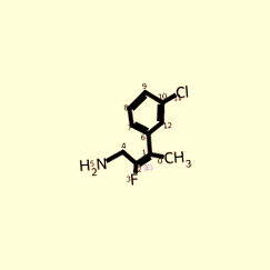 C/C(=C(\F)CN)c1cccc(Cl)c1